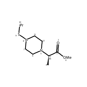 COC(=O)[C@@H](C)N1CCN(SC(C)C)CC1